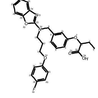 CCC(Oc1cccc(CN(CCCOc2ccc(F)cc2)c2nc3ccccc3o2)c1)C(=O)O